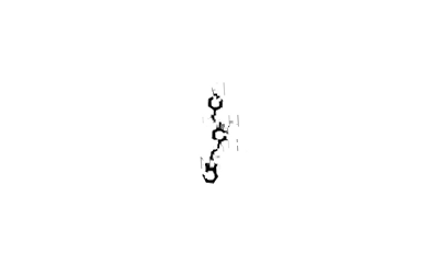 Cc1cc(OCc2nc3ccccc3s2)ccc1NC(=O)c1ccc(Cl)cc1